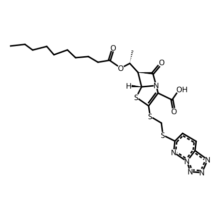 CCCCCCCCCC(=O)O[C@H](C)[C@H]1C(=O)N2C(C(=O)O)=C(SCSc3ccc4nnnn4n3)S[C@H]12